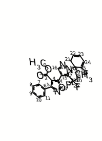 COC(=O)c1c(-c2ccccc2)noc1-c1cnn(C2(C)CC=CC=C2F)c1C(F)(F)F